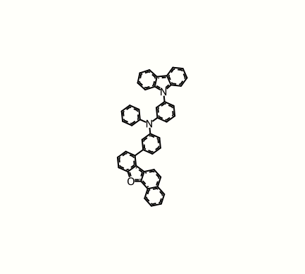 c1ccc(N(c2cccc(-c3cccc4oc5c6ccccc6ccc5c34)c2)c2cccc(-n3c4ccccc4c4ccccc43)c2)cc1